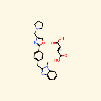 Cn1c(Cc2ccc(-c3nc(CN4CCCC4)co3)cc2)nc2ccccc21.O=C(O)/C=C/C(=O)O